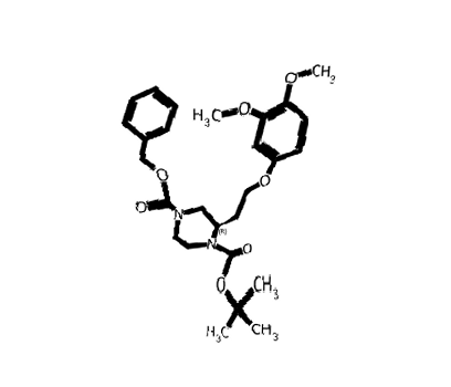 COc1ccc(OCC[C@@H]2CN(C(=O)OCc3ccccc3)CCN2C(=O)OC(C)(C)C)cc1OC